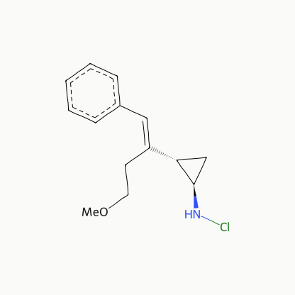 COCC/C(=C\c1ccccc1)[C@@H]1C[C@H]1NCl